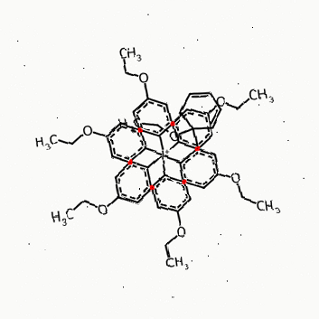 CCOc1ccc([I+](c2ccc(OCC)cc2)(c2ccc(OCC)cc2)(c2ccc(OCC)cc2)(c2ccc(OCC)cc2)c2ccc(OCC)cc2C2(OCC)C=CC=CC2)cc1